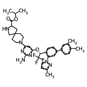 Cc1ccn(-c2cc(-c3ccc(C)c(C)c3)ccc2[C@@H](Oc2cc(N3CCC4(CC3)CNC(C(=O)OC(C)C)C4)nc(N)n2)C(F)(F)F)n1